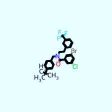 CC(C)(C)c1ccc(CN(CCc2cccc(C(F)(F)F)c2)C(=O)c2cc(Cl)cc(Br)c2)cc1